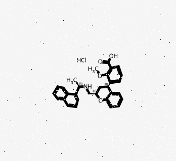 COc1c(C(=O)O)cccc1[C@@H]1C[C@H](CN[C@H](C)c2cccc3ccccc23)Oc2ccccc21.Cl